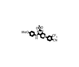 COc1ccc(Nc2nc(S(C)(=O)=O)nc3c2CCN(c2ccc(C#N)c(C(F)(F)F)c2)C3)cc1